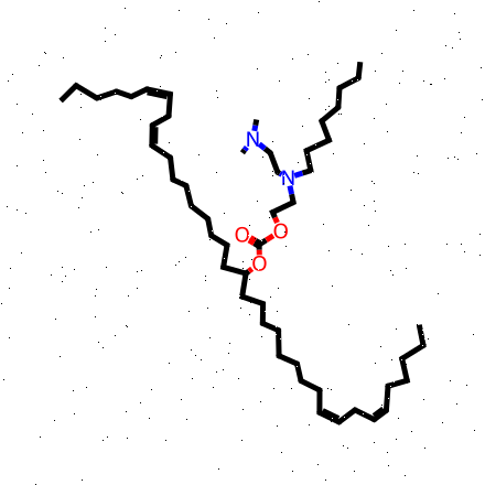 CCCCC/C=C\C/C=C\CCCCCCCCC(CCCCCCCC/C=C\C/C=C\CCCCC)OC(=O)OCCN(CCCCCCCC)CCN(C)C